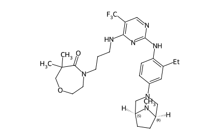 CCc1cc(N2C[C@H]3CC[C@@H](C2)N3C)ccc1Nc1ncc(C(F)(F)F)c(NCCCN2CCOCC(C)(C)C2=O)n1